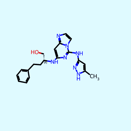 Cc1cc(Nc2nc(N[C@@H](CO)CCc3ccccc3)cc3nccn23)n[nH]1